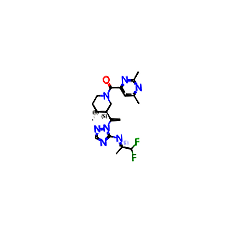 C=C([C@@H]1CN(C(=O)c2cc(C)nc(C)n2)CC[C@H]1C)n1ncnc1/N=C(\C)C(F)F